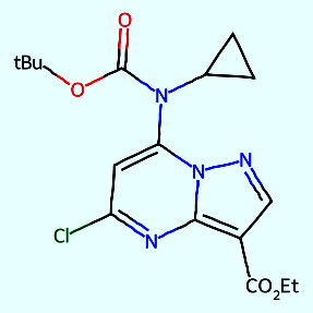 CCOC(=O)c1cnn2c(N(C(=O)OC(C)(C)C)C3CC3)cc(Cl)nc12